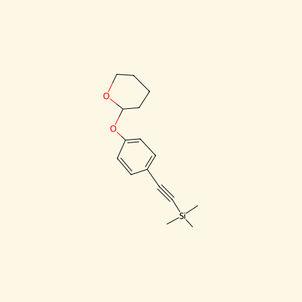 C[Si](C)(C)C#Cc1ccc(OC2CCCCO2)cc1